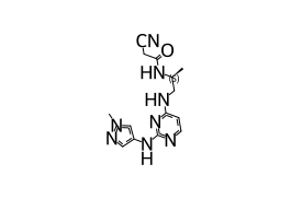 C[C@@H](CNc1ccnc(Nc2cnn(C)c2)n1)NC(=O)CC#N